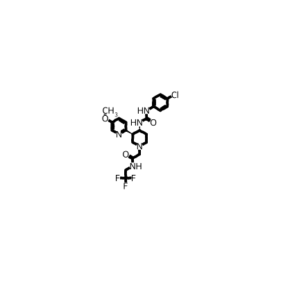 COc1ccc([C@@H]2CN(CC(=O)NCC(F)(F)F)CC[C@H]2NC(=O)Nc2ccc(Cl)cc2)nc1